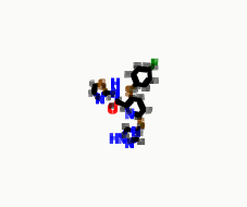 O=C(Nc1nccs1)c1nc(SN2C=NNC2)ccc1Sc1ccc(F)cc1